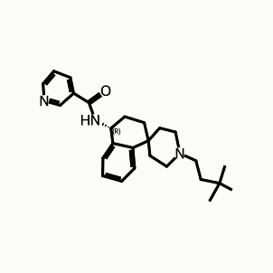 CC(C)(C)CCN1CCC2(CC[C@@H](NC(=O)c3cccnc3)c3ccccc32)CC1